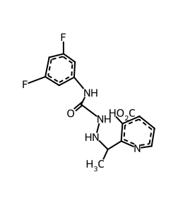 CC(NNC(=O)Nc1cc(F)cc(F)c1)c1ncccc1C(=O)O